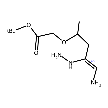 CC(C/C(=C/N)NN)OCC(=O)OC(C)(C)C